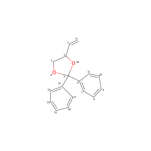 C=CC1COC(c2ccccc2)(c2ccccc2)O1